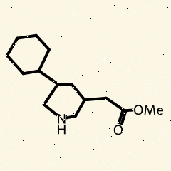 COC(=O)CC1CNCC(C2CCCCC2)C1